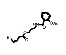 CC/C=C\CC(=O)OCCCNC(=O)c1ccccc1OC(C)=O